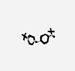 CN([C@H]1CC[C@H](CN2CCN(C(C)(C)C)CC2)CC1)C(C)(C)C